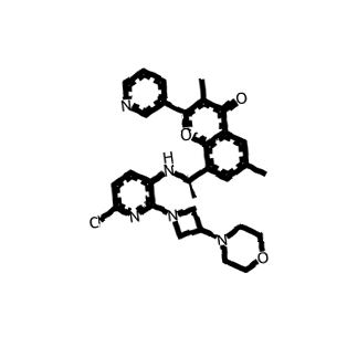 Cc1cc([C@@H](C)Nc2ccc(Cl)nc2N2CC(N3CCOCC3)C2)c2oc(-c3cccnc3)c(C)c(=O)c2c1